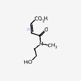 CN(CCO)C(=O)/C=C\C(=O)O